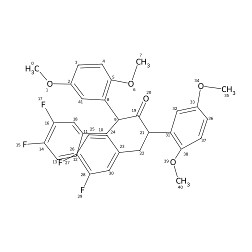 COc1ccc(OC)c(C(Cc2ccc(F)c(F)c2)C(=O)C(Cc2ccc(F)c(F)c2)c2cc(OC)ccc2OC)c1